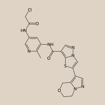 Cc1ncc(NC(=O)CCl)cc1NC(=O)c1cnn2cc(-c3cnn4c3COCC4)sc12